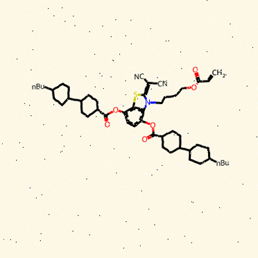 C=CC(=O)OCCCCN1C(=C(C#N)C#N)Sc2c(OC(=O)C3CCC(C4CCC(CCCC)CC4)CC3)ccc(OC(=O)C3CCC(C4CCC(CCCC)CC4)CC3)c21